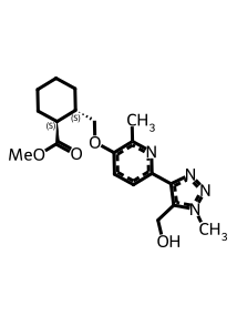 COC(=O)[C@H]1CCCC[C@@H]1COc1ccc(-c2nnn(C)c2CO)nc1C